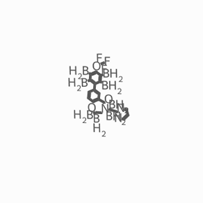 Bc1c(B)c(-c2ccc3c(c2)C(=O)N(C(B)(B)c2ncccn2)CC(B)(B)O3)c(B)c(B)c1OC(F)(F)F